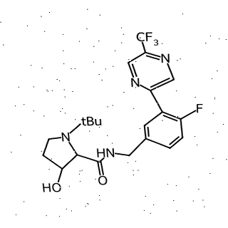 CC(C)(C)N1CCC(O)C1C(=O)NCc1ccc(F)c(-c2cnc(C(F)(F)F)cn2)c1